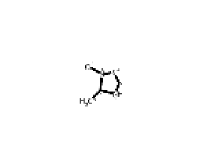 CC1NCSN1Cl